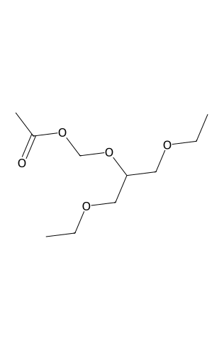 CCOCC(COCC)OCOC(C)=O